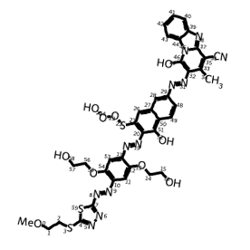 COCCSc1nnc(N=Nc2cc(OCCO)c(N=Nc3c(SOOO)cc4cc(N=Nc5c(C)c(C#N)c6nc7ccccc7n6c5O)ccc4c3O)cc2OCCO)s1